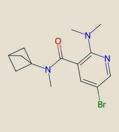 CN(C)c1ncc(Br)cc1C(=O)N(C)C12CC(C1)C2